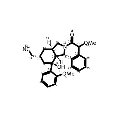 COc1ccccc1[C@]1(O)C[C@H](CC#N)C[C@H]2CN(C(=O)C(OC)c3ccccc3)C[C@H]21